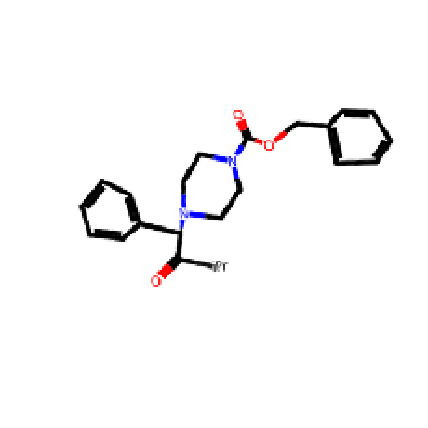 CC(C)C(=O)[C@@H](c1ccccc1)N1CCN(C(=O)OCc2ccccc2)CC1